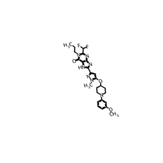 CCCn1c(C(F)F)nc2nc(-c3cc(OC4CCN(c5cccc(OC)c5)CC4)n(C)n3)[nH]c2c1=O